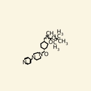 CN(C[C@H]1CC[C@H](C(=O)N2CCN(c3ccncc3)CC2)CC1)C(=O)OC(C)(C)C